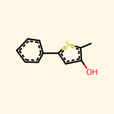 Cc1sc(-c2ccccc2)cc1O